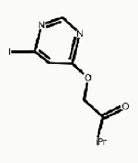 CC(C)C(=O)COc1cc(I)ncn1